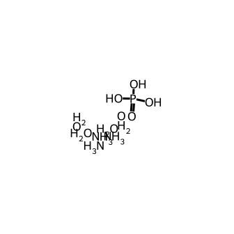 N.N.N.O.O.O.O.O=P(O)(O)O